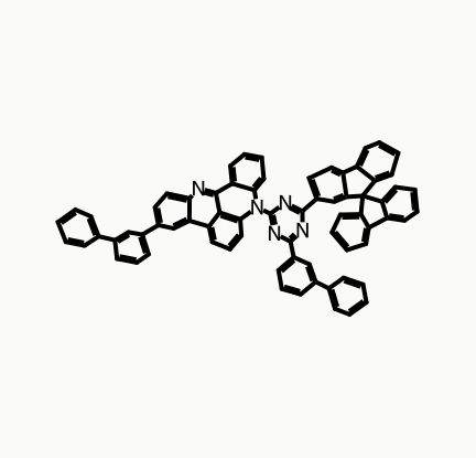 c1ccc(-c2cccc(-c3ccc4nc5c6c(cccc6c4c3)N(c3nc(-c4cccc(-c6ccccc6)c4)nc(-c4ccc6c(c4)C4(c7ccccc7-c7ccccc74)c4ccccc4-6)n3)c3ccccc3-5)c2)cc1